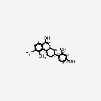 Cc1ccc(C(=O)O)c(C2CCC(c3ccc(O)cc3O)CC2)c1C